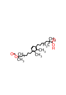 Cc1c(CCCCCC(C)(C)OC=O)ccc(CCCCCC(C)(C)C(=O)O)c1C